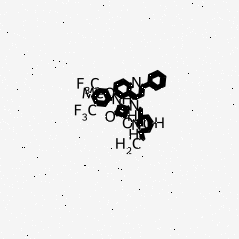 C=C[C@H]1C[C@@H]2CC[N@]1[C@H](CN(c1c(Nc3cc(C(F)(F)F)cc(C(F)(F)F)c3)c(=O)c1=O)c1cc(-c3ccccc3)nc3ccc(OC)cc13)C2